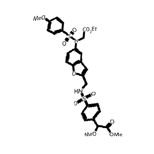 CCOC(=O)CN(c1ccc2oc(CNS(=O)(=O)c3ccc(C(OC)C(=O)OC)cc3)cc2c1)S(=O)(=O)c1ccc(OC)cc1